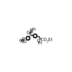 CCCOC(=O)N(c1ccc(CC(OCC)C(=O)OCC)cc1)c1ccc(OS(C)(=O)=O)cc1